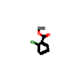 O=[C]OC(=O)c1ccccc1Cl